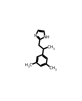 Cc1cc(C)cc(C(C)Cc2ncc[nH]2)c1